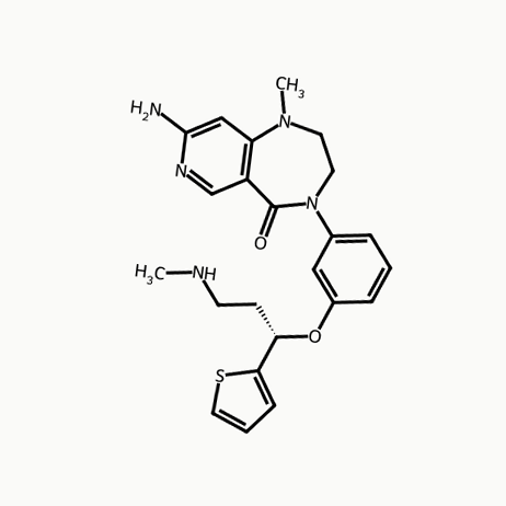 CNCC[C@H](Oc1cccc(N2CCN(C)c3cc(N)ncc3C2=O)c1)c1cccs1